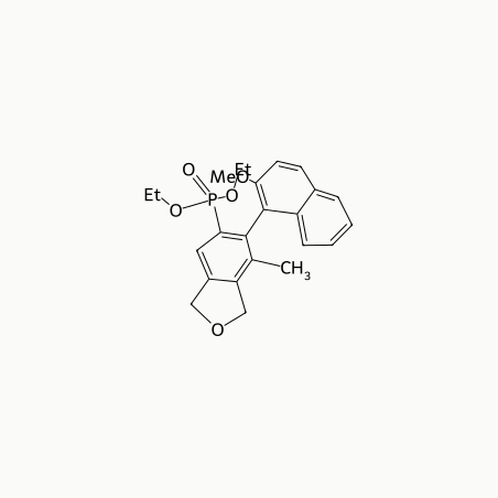 CCOP(=O)(OCC)c1cc2c(c(C)c1-c1c(OC)ccc3ccccc13)COC2